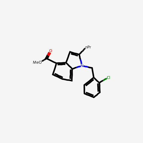 CCCc1cc2c(C(=O)OC)cccc2n1Cc1ccccc1Cl